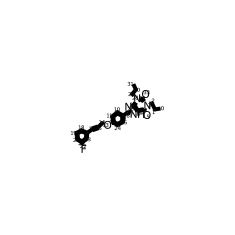 CCCn1c(=O)c2[nH]c(-c3ccc(OCC#Cc4cccc(F)c4)cc3)nc2n(CCC)c1=O